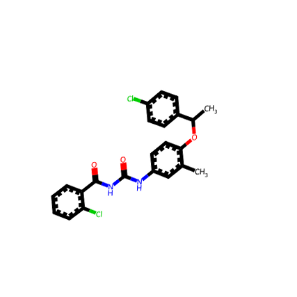 Cc1cc(NC(=O)NC(=O)c2ccccc2Cl)ccc1OC(C)c1ccc(Cl)cc1